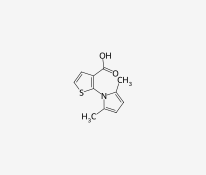 Cc1ccc(C)n1-c1sccc1C(=O)O